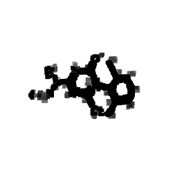 CCc1nc(N(N)CC)nc(=O)n1-c1c(C)cccc1C